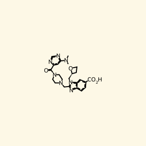 CN(C)c1cc(C(=O)N2CCN(Cc3nc4ccc(C(=O)O)cc4n3C[C@@H]3CCO3)CC2)ncn1